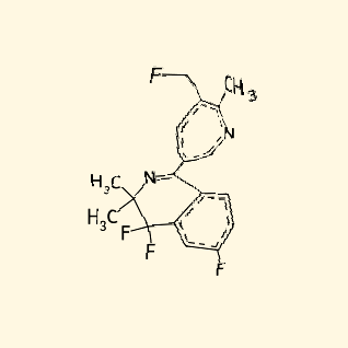 Cc1ncc(C2=NC(C)(C)C(F)(F)c3cc(F)ccc32)cc1CF